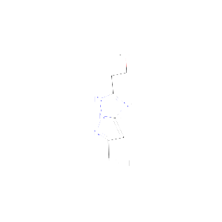 O=C(O)c1cc2nc(CCO)[nH]n2n1